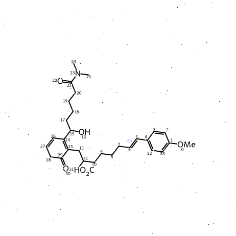 COc1ccc(/C=C/CCCCC(CC2=C(C(O)CCCCC(=O)N(C)C)C=CCC2=O)C(=O)O)cc1